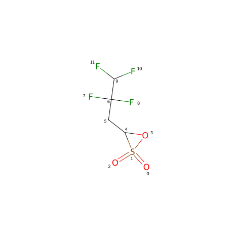 O=S1(=O)OC1CC(F)(F)C(F)F